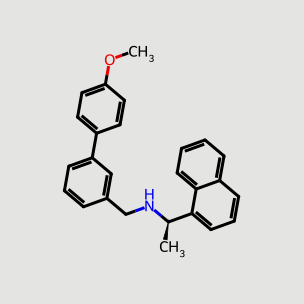 COc1ccc(-c2cccc(CN[C@H](C)c3cccc4ccccc34)c2)cc1